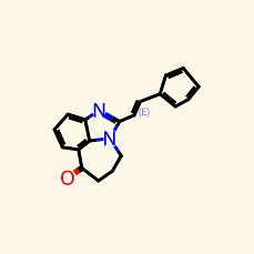 O=C1CCCn2c(/C=C/c3ccccc3)nc3cccc1c32